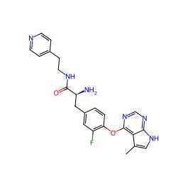 Cc1c[nH]c2ncnc(Oc3ccc(C[C@H](N)C(=O)NCCc4ccncc4)cc3F)c12